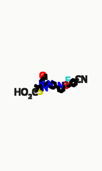 Cc1c(C(=O)O)sc2nc(CN3CCC(c4cccc(OCc5ccc(C#N)cc5F)n4)CC3)n(CC3CCO3)c12